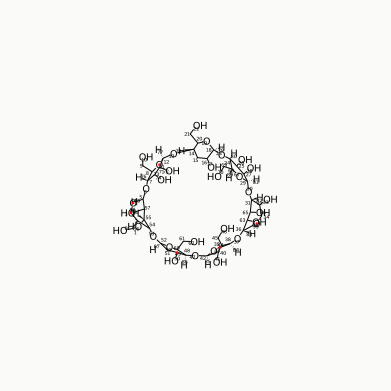 OCC1CO[C@H]2O[C@@H]3C(CO)O[C@@H](O[C@H]4CC(O)[C@@H](OC4CO)O[C@H]4C(O)C(O)[C@@H](O[C@@H]5C(O)CO[C@H](O[C@H]6CC(O)[C@H](OC6CO)O[C@H]6C(O)C[C@@H](OC1[C@H](O)C2O)OC6CO)C(O)C5O)O[C@@H]4CO)C(O)C3O